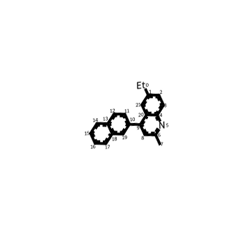 CCc1ccc2nc(C)cc(-c3ccc4ccccc4c3)c2c1